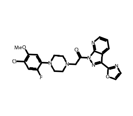 COc1cc(N2CCN(CC(=O)n3nc(-c4ncco4)c4cccnc43)CC2)c(F)cc1Cl